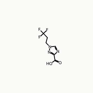 O=C(O)c1ncn(CCC(F)(F)F)n1